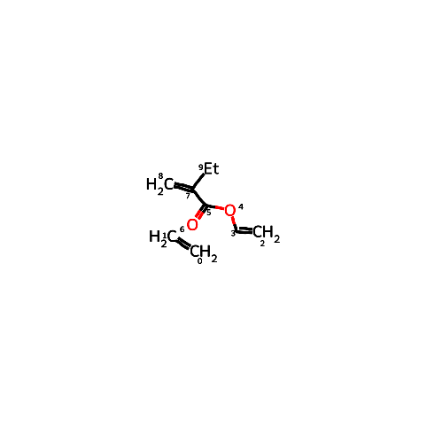 C=C.C=COC(=O)C(=C)CC